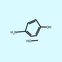 CO.Nc1ccc(O)cc1